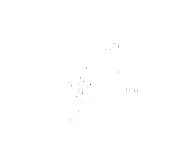 CCOc1cc(OCCC(C)(C)C)cc(C(=O)C[n+]2nc(N)n3nc(OC(CC)CC)ccc32)c1